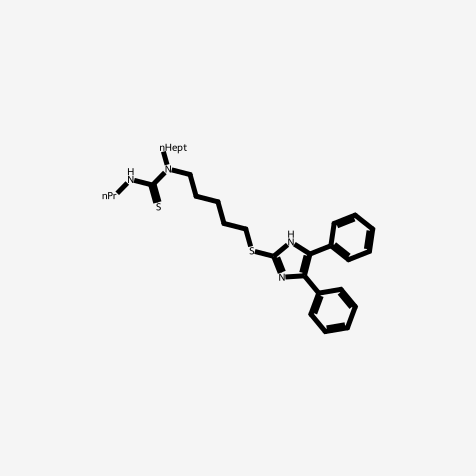 CCCCCCCN(CCCCCSc1nc(-c2ccccc2)c(-c2ccccc2)[nH]1)C(=S)NCCC